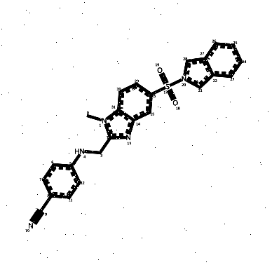 Cn1c(CNc2ccc(C#N)cc2)nc2cc(S(=O)(=O)n3cc4ccccc4c3)ccc21